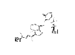 C=C1CC[C@H](CC(C)(C)[Si](C)(C)O)C/C1=C\C=C1/CCC[C@@]2(C)C1CCC2[C@H](C)/C=C/[C@H](C)C(C)C